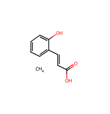 C.O=C(O)/C=C/c1ccccc1O